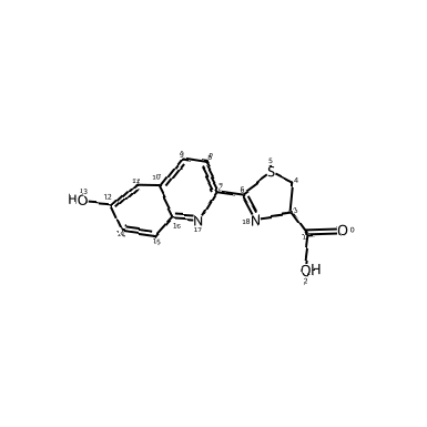 O=C(O)C1CSC(c2ccc3cc(O)ccc3n2)=N1